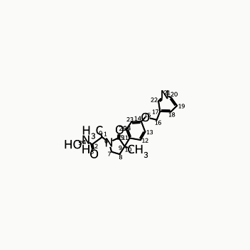 CC(C(=O)NO)N1CCC(C)(c2ccc(OCc3cccnc3)cc2)C1=O